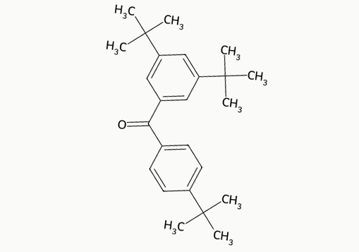 CC(C)(C)c1ccc(C(=O)c2cc(C(C)(C)C)cc(C(C)(C)C)c2)cc1